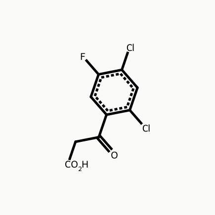 O=C(O)CC(=O)c1cc(F)c(Cl)cc1Cl